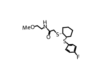 COCCNC(=O)CS[C@@H]1CCCC[C@H]1Sc1ccc(F)cc1